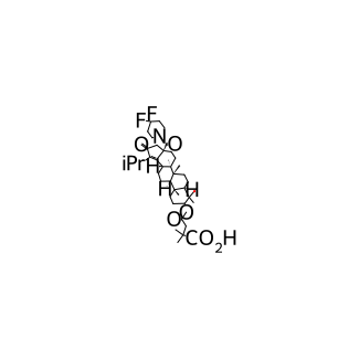 CC(C)C1=C2[C@H]3CC[C@@H]4[C@@]5(C)CC[C@H](OC(=O)CC(C)(C)C(=O)O)C(C)(C)[C@@H]5CC[C@@]4(C)[C@]3(C)CC[C@@]2(C(=O)N2CCC(F)(F)CC2)CC1=O